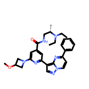 CCN(CC)[C@@H](C)CNC(=O)c1cc(-c2cnn3ccc(-c4ccccc4)nc23)nc(N2CC(OC)C2)c1